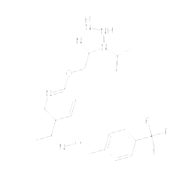 CC(=NOCc1ccc(C(F)(F)F)cc1)c1ccc(OCC2=NNNN2C(C)C)nc1